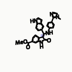 COC(=O)c1ccc2c(c1)NC(=O)/C2=C(\Nc1ccc(-c2nccn2C)cc1)c1ccc2[nH]ccc2c1